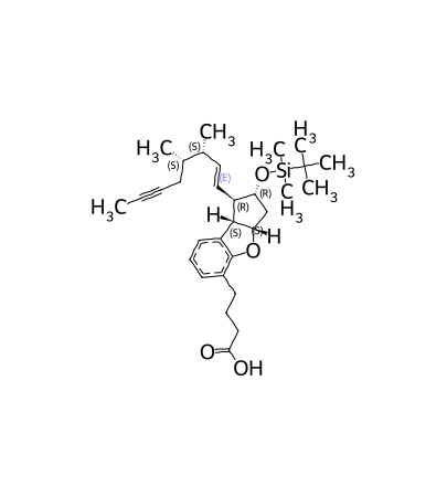 CC#CC[C@H](C)[C@H](C)/C=C/[C@@H]1[C@H]2c3cccc(CCCC(=O)O)c3O[C@H]2C[C@H]1O[Si](C)(C)C(C)(C)C